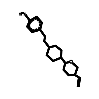 C=CC1CCC(C2CCC(CCc3ccc(CCC)cc3)CC2)OC1